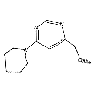 COCc1cc(N2CCCCC2)ncn1